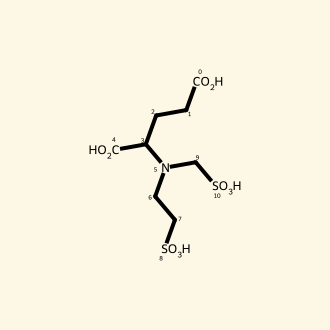 O=C(O)CCC(C(=O)O)N(CCS(=O)(=O)O)CS(=O)(=O)O